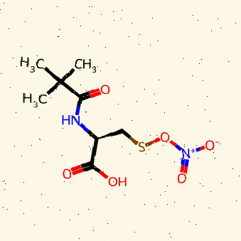 CC(C)(C)C(=O)N[C@@H](CSO[N+](=O)[O-])C(=O)O